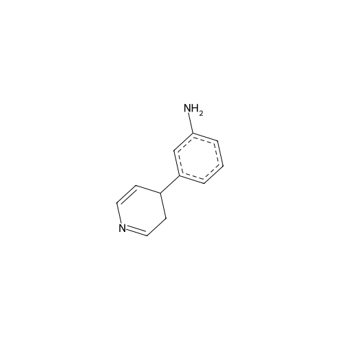 Nc1cccc(C2C=CN=CC2)c1